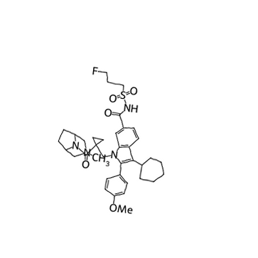 COc1ccc(-c2c(C3CCCCC3)c3ccc(C(=O)NS(=O)(=O)CCCF)cc3n2CC2(C(=O)N3C4CCC3CN(C)C4)CC2)cc1